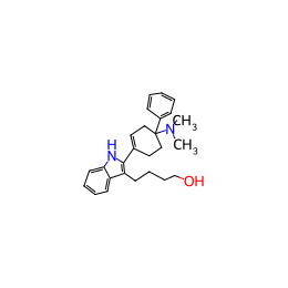 CN(C)C1(c2ccccc2)CC=C(c2[nH]c3ccccc3c2CCCCO)CC1